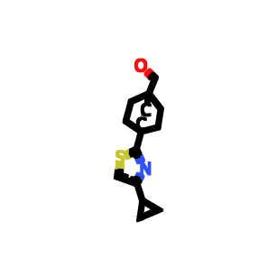 O=CC12CCC(c3nc(C4CC4)cs3)(CC1)CC2